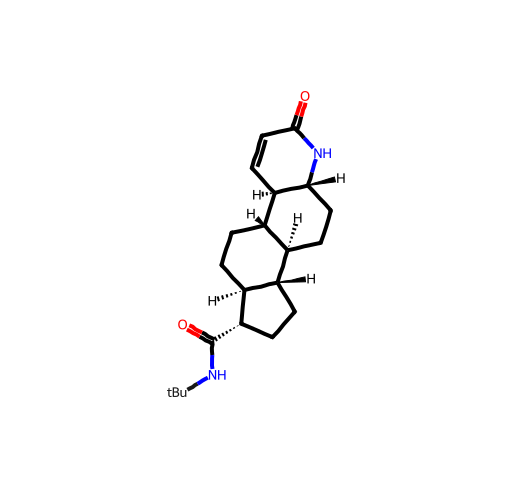 CC(C)(C)NC(=O)[C@H]1CC[C@H]2[C@@H]3CC[C@H]4NC(=O)C=C[C@@H]4[C@H]3CC[C@@H]21